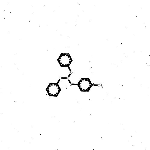 Cc1ccc(SP(Oc2ccccc2)Oc2ccccc2)cc1